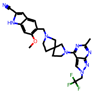 COc1cc2[nH]c(C#N)cc2cc1CN1CCC2(CCN(c3nc(C)nc4nn(CC(F)(F)F)cc34)C2)C1